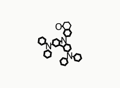 O=C1CCCc2ccc(-n3c4ccc(N(c5ccccc5)c5ccccc5)cc4c4cc(N(c5ccccc5)c5ccccc5)ccc43)cc21